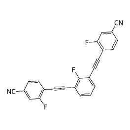 N#Cc1ccc(C#Cc2cccc(C#Cc3ccc(C#N)cc3F)c2F)c(F)c1